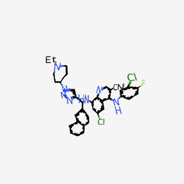 CCN1CCC(n2cc([C@@H](Nc3cc(Cl)cc4c(Nc5ccc(F)c(Cl)c5)c(C#N)cnc34)c3ccc4ccccc4c3)nn2)CC1